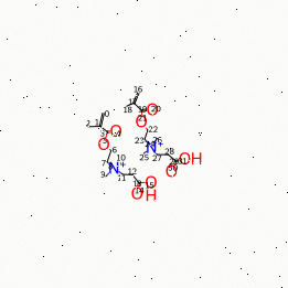 C=C(C)C(=O)OCC[N+](C)(C)CCC(=O)O.C=C(C)C(=O)OCC[N+](C)(C)CCC(=O)O